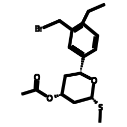 CCc1ccc([C@H]2C[C@@H](OC(C)=O)C[C@@H](SC)O2)cc1CBr